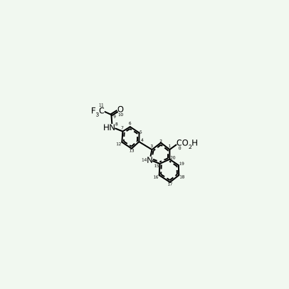 O=C(O)c1cc(-c2ccc(NC(=O)C(F)(F)F)cc2)nc2ccccc12